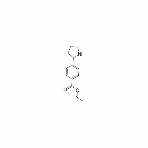 CSOC(=O)c1ccc(C2CCCN2)cc1